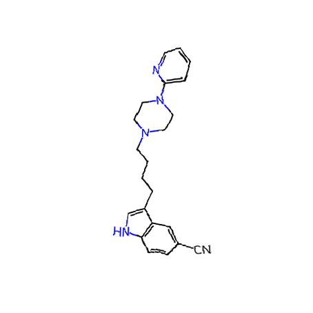 N#Cc1ccc2[nH]cc(CCCCN3CCN(c4ccccn4)CC3)c2c1